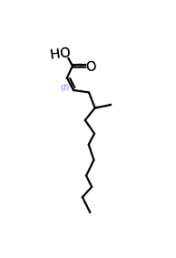 CCCCCCCCC(C)C/C=C\C(=O)O